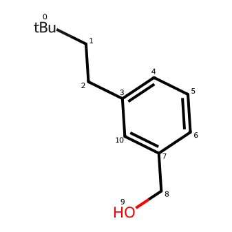 CC(C)(C)CCc1cccc(CO)c1